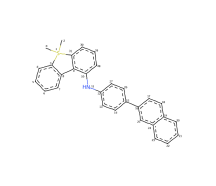 CS1(C)c2ccccc2-c2c(Nc3ccc(-c4ccc5ccccc5c4)cc3)cccc21